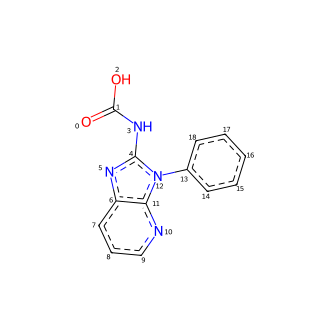 O=C(O)Nc1nc2cccnc2n1-c1ccccc1